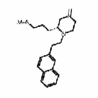 CNCCC[C@@H]1CNCCN1CCc1ccc2ccccc2c1